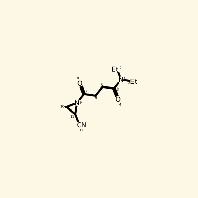 CCN(CC)C(=O)CCC(=O)N1CC1C#N